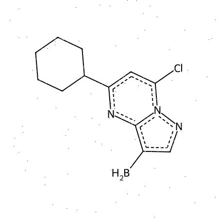 Bc1cnn2c(Cl)cc(C3CCCCC3)nc12